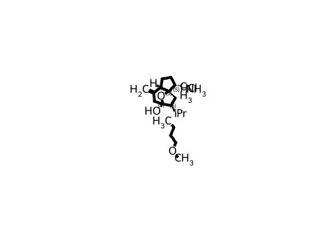 C=C1C[C@]2(O)O[C@@]3(C[C@H]2C(C)C)[C@@H](C)CC[C@@H]13.CCCCOC.Cl.N